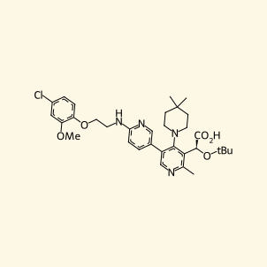 COc1cc(Cl)ccc1OCCNc1ccc(-c2cnc(C)c([C@H](OC(C)(C)C)C(=O)O)c2N2CCC(C)(C)CC2)cn1